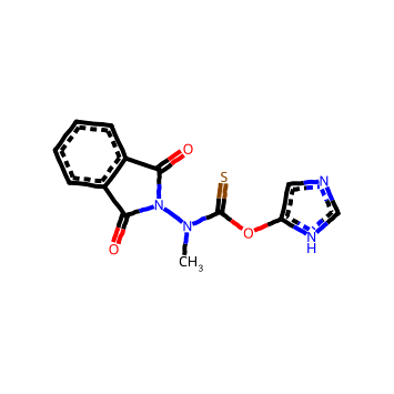 CN(C(=S)Oc1cnc[nH]1)N1C(=O)c2ccccc2C1=O